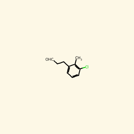 Cc1c(Cl)cccc1CCC=O